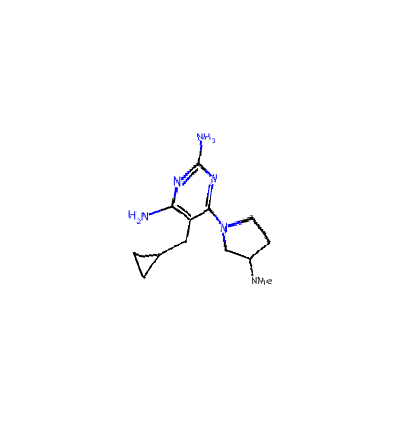 CNC1CCN(c2nc(N)nc(N)c2CC2CC2)C1